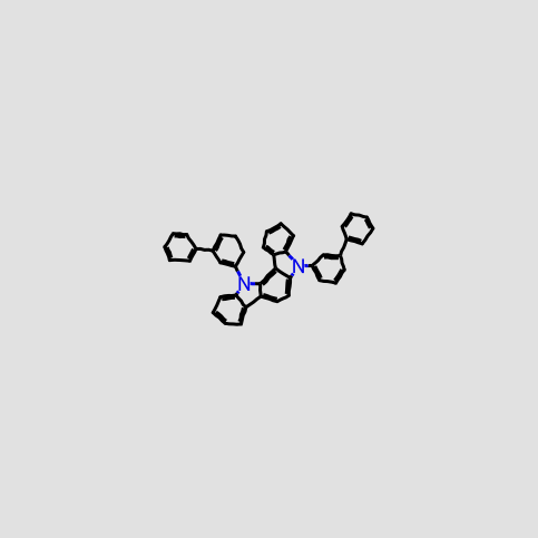 C1=C(c2ccccc2)C=C(n2c3ccccc3c3ccc4c(c5ccccc5n4-c4cccc(-c5ccccc5)c4)c32)CC1